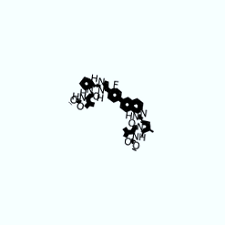 COC(=O)N[C@H](C(=O)N1[C@@H]2CC[C@@H](C2)[C@H]1c1ncc(-c2ccc(-c3ccc4c(ccc5nc([C@@H]6C[C@@H](C)[C@@H](C)N6C(=O)[C@@H](NC(=O)OC)C(C)C)[nH]c54)c3)cc2F)[nH]1)C(C)C